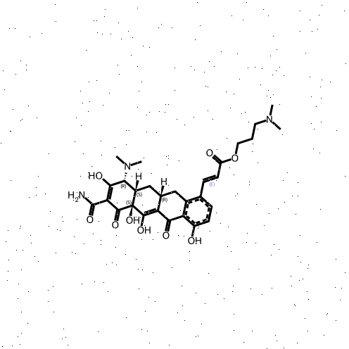 CN(C)CCCOC(=O)/C=C/c1ccc(O)c2c1C[C@H]1C[C@H]3[C@@H](N(C)C)C(O)=C(C(N)=O)C(=O)[C@@]3(O)C(O)=C1C2=O